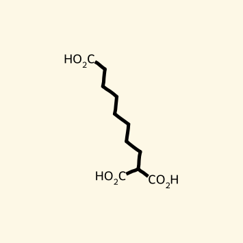 O=C(O)CCCCCCCC(C(=O)O)C(=O)O